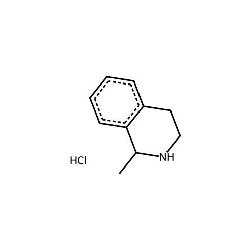 CC1NCCc2ccccc21.Cl